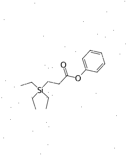 CC[Si](CC)(CC)CCC(=O)Oc1ccccc1